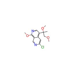 COCC(C)(OC)c1cnc(OC)c2cnc(Cl)cc12